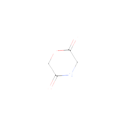 O=C1COC(=O)C[N]1